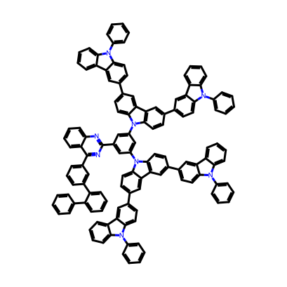 c1ccc(-c2ccccc2-c2cccc(-c3nc(-c4cc(-n5c6ccc(-c7ccc8c(c7)c7ccccc7n8-c7ccccc7)cc6c6cc(-c7ccc8c(c7)c7ccccc7n8-c7ccccc7)ccc65)cc(-n5c6ccc(-c7ccc8c(c7)c7ccccc7n8-c7ccccc7)cc6c6cc(-c7ccc8c(c7)c7ccccc7n8-c7ccccc7)ccc65)c4)nc4ccccc34)c2)cc1